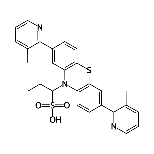 CCC(N1c2ccc(-c3ncccc3C)cc2Sc2ccc(-c3ncccc3C)cc21)S(=O)(=O)O